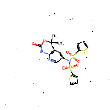 CC1(C)OC(=O)Nc2ncc(N(S(=O)(=O)c3cccs3)S(=O)(=O)c3cccs3)cc21